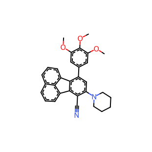 COc1cc(-c2cc(N3CCCCC3)c(C#N)c3c2-c2cccc4cccc-3c24)cc(OC)c1OC